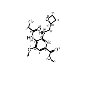 COC(=O)c1cc(OC)c(NC(=O)CCl)c(NC[C@@H]2CCO2)n1